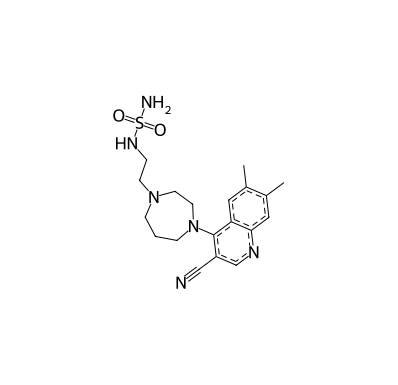 Cc1cc2ncc(C#N)c(N3CCCN(CCNS(N)(=O)=O)CC3)c2cc1C